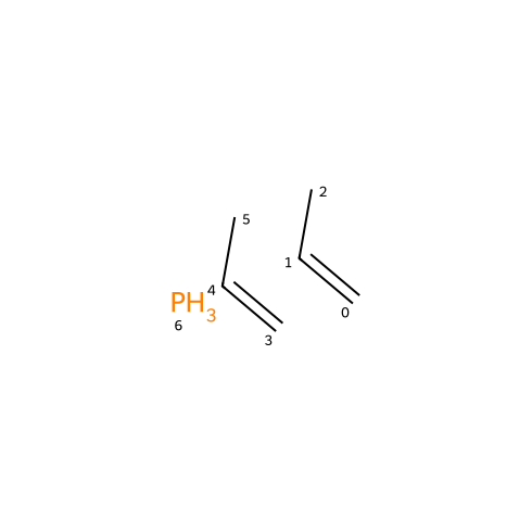 C=CC.C=CC.P